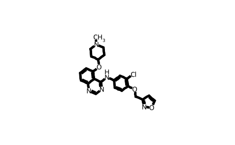 CN1CCC(Oc2cccc3ncnc(Nc4ccc(OCc5ccon5)c(Cl)c4)c23)CC1